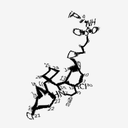 CC(C)NS(=O)(=O)CCCOc1ccc2c(c1)C(C1(c3ccc(Cl)cc3)CCC1)NCC2.Cl